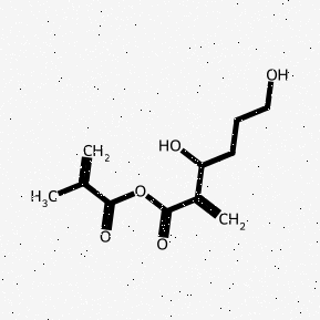 C=C(C)C(=O)OC(=O)C(=C)C(O)CCCO